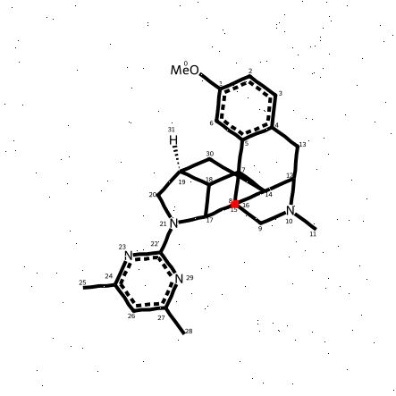 COc1ccc2c(c1)C13CCN(C)C(C2)C12CCC1C3[C@@H](CN1c1nc(C)cc(C)n1)C2